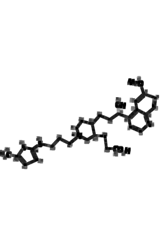 COc1ccc2nccc([C@@H](O)CCC3CCN(CCCSc4ccc(C)s4)CC3CCC(=O)O)c2c1